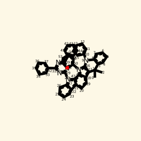 CC1(C)c2ccccc2N(c2ccccc2)c2c1c1ccc3c4ccccc4n(-c4nc(-c5ccccc5)nc(-c5ccccc5)n4)c3c1n2-c1ccccc1